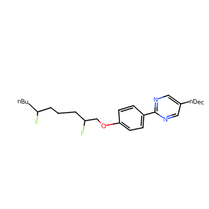 CCCCCCCCCCc1cnc(-c2ccc(OCC(F)CCCC(F)CCCC)cc2)nc1